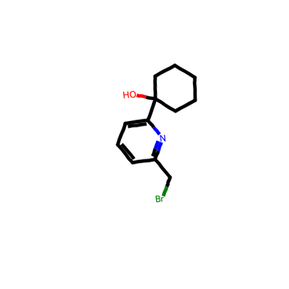 OC1(c2cccc(CBr)n2)CCCCC1